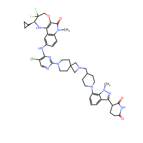 Cn1nc(C2CCC(=O)NC2=O)c2cccc(N3CCC(CN4CC5(CCN(c6ncc(Cl)c(Nc7ccc8c(c7)c7c(c(=O)n8C)OCC(F)(F)[C@H](C8CC8)N7)n6)CC5)C4)CC3)c21